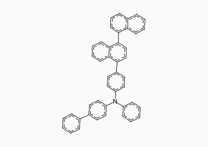 c1ccc(-c2ccc(N(c3ccccc3)c3ccc(-c4ccc(-c5cccc6ccccc56)c5ccccc45)cc3)cc2)cc1